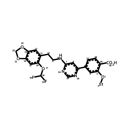 CCOc1cc(-c2cc(NCCc3cc4c(cc3OC(F)F)OCO4)ncn2)ccc1C(=O)O